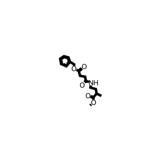 COC(=O)C(C)CCNC(=O)CCC(=O)OCc1ccccc1